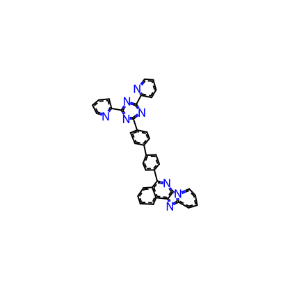 c1ccc(-c2nc(-c3ccc(-c4ccc(-c5nc6c(nc7ccccn76)c6ccccc56)cc4)cc3)nc(-c3ccccn3)n2)nc1